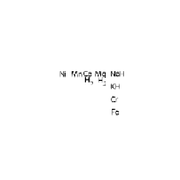 [CaH2].[Cr].[Fe].[KH].[MgH2].[Mn].[NaH].[Ni]